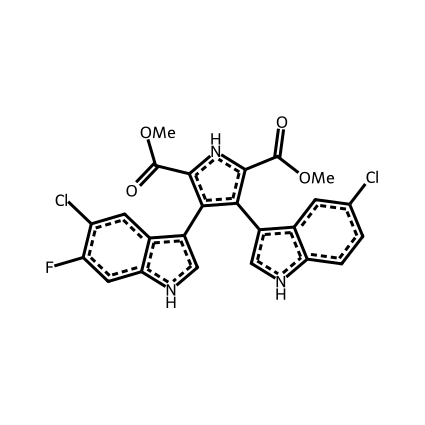 COC(=O)c1[nH]c(C(=O)OC)c(-c2c[nH]c3cc(F)c(Cl)cc23)c1-c1c[nH]c2ccc(Cl)cc12